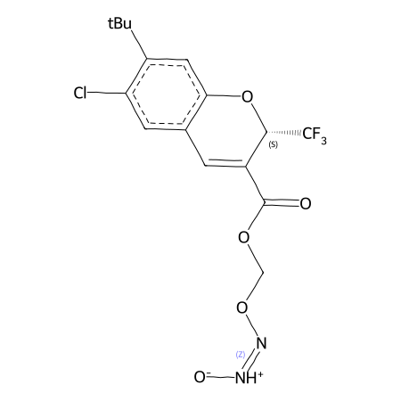 CC(C)(C)c1cc2c(cc1Cl)C=C(C(=O)OCO/N=[NH+]\[O-])[C@@H](C(F)(F)F)O2